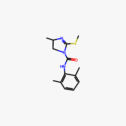 CSC1=NC(C)CN1C(=O)Nc1c(C)cccc1C